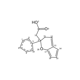 O=C(O)CC1(c2ccccc2)CC=C2C=CC=C2O1